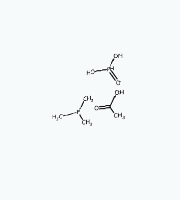 CC(=O)O.CP(C)C.O=[PH](O)O